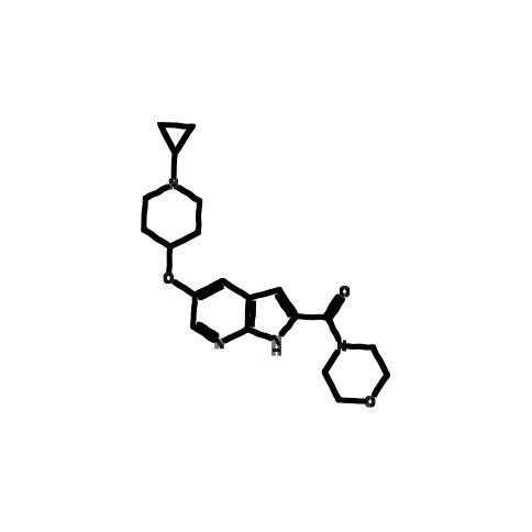 O=C(c1cc2cc(OC3CCN(C4CC4)CC3)cnc2[nH]1)N1CCOCC1